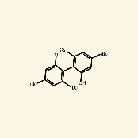 CCC(C)c1cc(O)c(-c2c(O)cc(C(C)CC)cc2C(C)CC)c(C(C)CC)c1